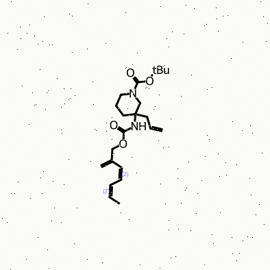 C=CCC1(NC(=O)OCC(=C)/C=C\C=C/C)CCCN(C(=O)OC(C)(C)C)C1